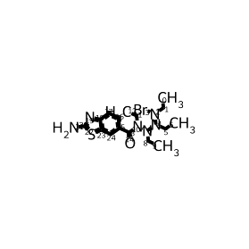 CCN(Br)N(CC)N(CC)N(CC)C(=O)c1ccc2nc(N)sc2c1